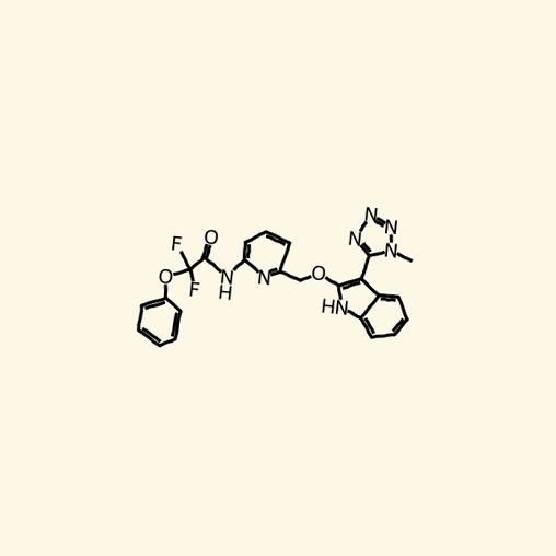 Cn1nnnc1-c1c(OCc2cccc(NC(=O)C(F)(F)Oc3ccccc3)n2)[nH]c2ccccc12